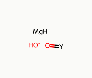 [MgH+].[OH-].[O]=[Y]